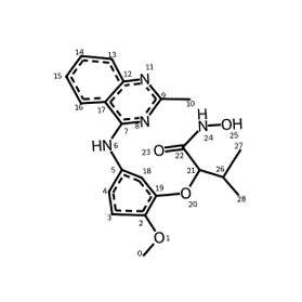 COc1ccc(Nc2nc(C)nc3ccccc23)cc1OC(C(=O)NO)C(C)C